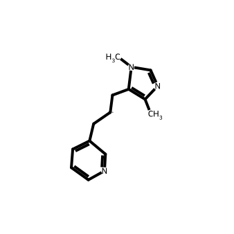 Cc1ncn(C)c1C[CH]Cc1cccnc1